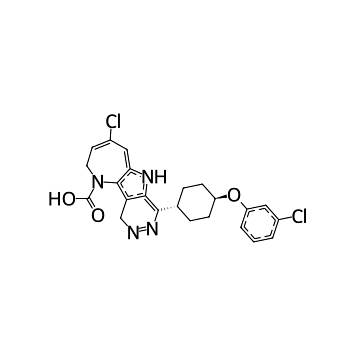 O=C(O)N1CC=C(Cl)C=c2[nH]c3c(c21)CN=NC=3[C@H]1CC[C@H](Oc2cccc(Cl)c2)CC1